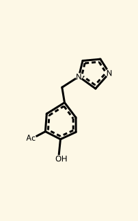 CC(=O)c1cc(Cn2ccnc2)ccc1O